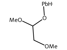 COCC(OC)[O][PbH]